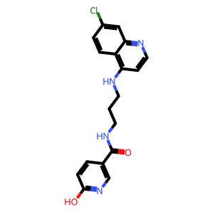 O=C(NCCCNc1ccnc2cc(Cl)ccc12)c1ccc(O)nc1